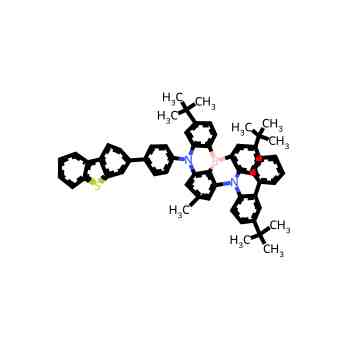 Cc1cc2c3c(c1)N(c1ccc(C(C)(C)C)cc1-c1ccccc1)c1ccc(C(C)(C)C)cc1B3c1ccc(C(C)(C)C)cc1N2c1ccc(-c2ccc3c(c2)sc2ccccc23)cc1